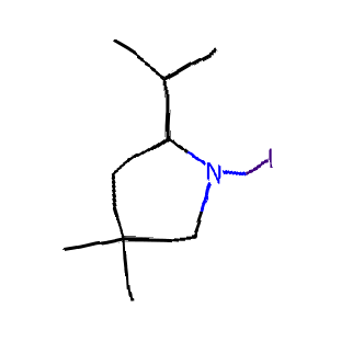 CC(C)C1CC(C)(C)CN1I